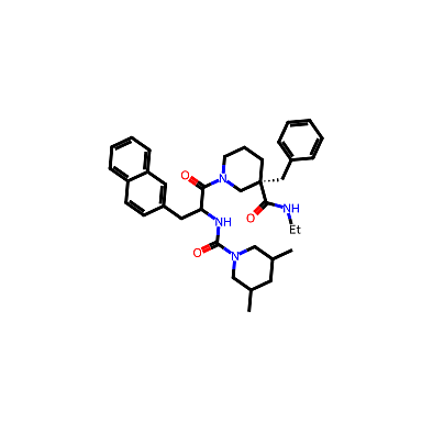 CCNC(=O)[C@]1(Cc2ccccc2)CCCN(C(=O)C(Cc2ccc3ccccc3c2)NC(=O)N2CC(C)CC(C)C2)C1